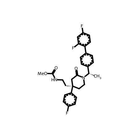 COC(=O)NCC[C@@]1(c2ccc(F)cc2)CCN([C@@H](C)c2ccc(-c3ccc(F)cc3F)cc2)C(=O)C1